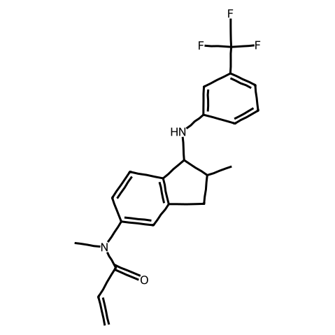 C=CC(=O)N(C)c1ccc2c(c1)CC(C)C2Nc1cccc(C(F)(F)F)c1